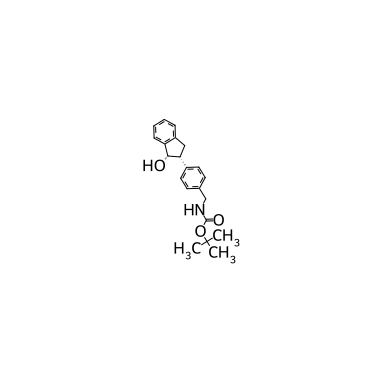 CC(C)(C)OC(=O)NCc1ccc([C@H]2Cc3ccccc3[C@H]2O)cc1